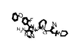 CC(C)(C=C(C#N)C(=O)N1CCC[C@H]1Cn1nc(-c2ccc(Oc3ccccc3)cc2F)c2c(N)ncnc21)N1CCCCC1